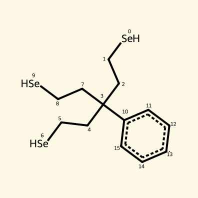 [SeH]CCC(CC[SeH])(CC[SeH])c1cc[c]cc1